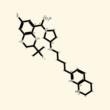 CC(C)(F)C1COc2cc(F)cc(C(C(=O)O)N3CCC(OCCCCc4ccc5c(n4)NCCC5)C3)c2O1